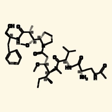 CC[C@H](C)[C@@H]([C@@H](CC(=O)N1CCC[C@H]1[C@H](OC)[C@@H](C)C(=O)N[C@H](CO)Cc1ccccc1)OC)N(C)C(=O)[C@@H](NC(=O)[C@@H](N)CNC(C)=O)C(C)C